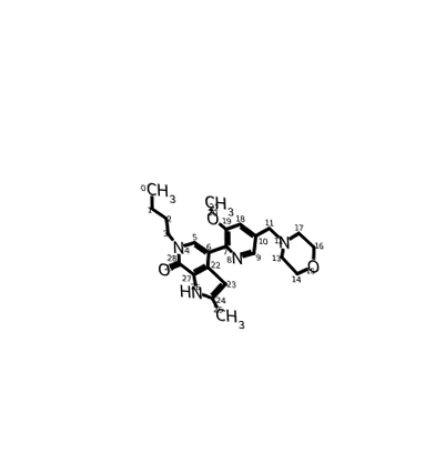 CCCCn1cc(-c2ncc(CN3CCOCC3)cc2OC)c2cc(C)[nH]c2c1=O